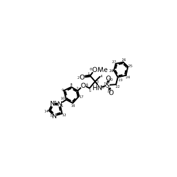 COC(=O)C(C)(COc1ccc(-n2cncn2)cc1)NS(=O)(=O)Cc1ccccc1